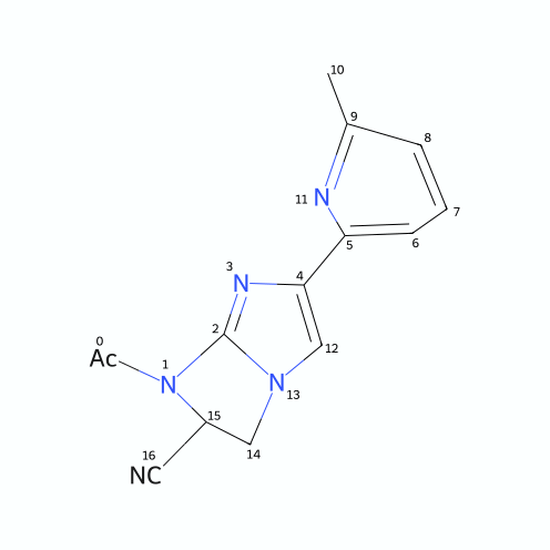 CC(=O)N1c2nc(-c3cccc(C)n3)cn2CC1C#N